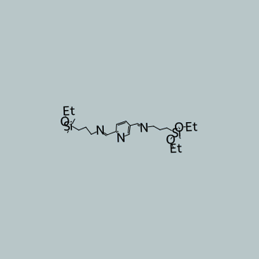 CCO[Si](C)(C)CCC/N=C/c1ccc(/C=N/CCC[Si](C)(OCC)OCC)cn1